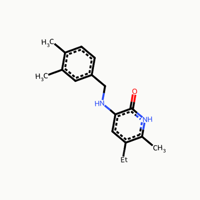 CCc1cc(NCc2ccc(C)c(C)c2)c(=O)[nH]c1C